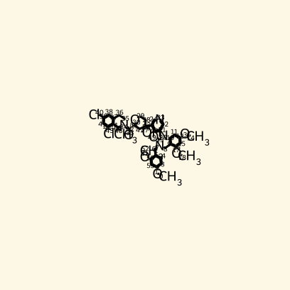 COc1ccc(CN(Cc2ccc(OC)cc2OC)c2nc3cncc([C@]4(O)CCO[C@@H](C(=O)N5CCc6cc(Cl)cc(Cl)c6[C@@H]5C)C4)c3o2)c(OC)c1